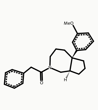 COc1cccc([C@@]23CCC[C@H]2CN(C(=O)Cc2ccccc2)CCC3)c1